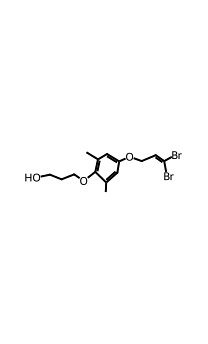 Cc1cc(OCC=C(Br)Br)cc(C)c1OCCCO